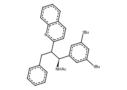 CC(=O)N[C@H](c1cc(C(C)(C)C)cc(C(C)(C)C)c1)C(Cc1ccccc1)c1ccc2ccccc2n1